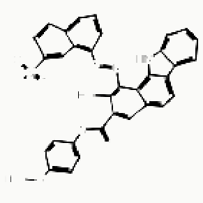 COc1ccc(NC(=O)c2cc3ccc4c5ccccc5[nH]c4c3c(N=Nc3cccc4ccc(S(=O)(=O)O)cc34)c2O)cc1